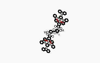 CC(C)(c1ccc(O)c(-n2c(=O)c3cc4c(=O)n(-c5c(-n6c7ccccc7c7ccccc76)cc(-n6c7ccccc7c7ccccc76)cc5-n5c6ccccc6c6ccccc65)c(=O)c4cc3c2=O)c1)c1ccc(O)c(-n2c(=O)c3cc4c(=O)n(-c5c(-n6c7ccccc7c7ccccc76)cc(-n6c7ccccc7c7ccccc76)cc5-n5c6ccccc6c6ccccc65)c(=O)c4cc3c2=O)c1